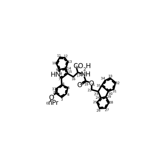 CCCOc1cccc(-c2[nH]c3ccccc3c2CC(NC(=O)OCC2c3ccccc3-c3ccccc32)C(=O)O)c1